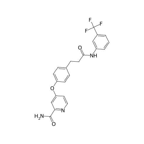 NC(=O)c1cc(Oc2ccc(CCC(=O)Nc3cccc(C(F)(F)F)c3)cc2)ccn1